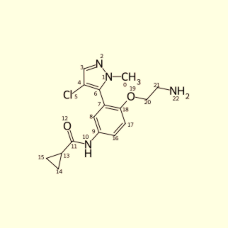 Cn1ncc(Cl)c1-c1cc(NC(=O)C2CC2)ccc1OCCN